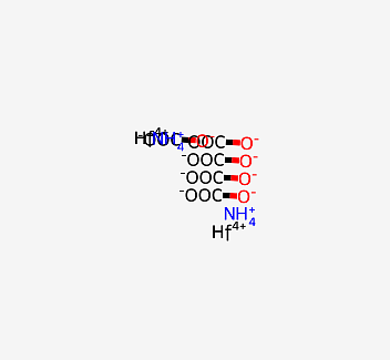 O=C([O-])[O-].O=C([O-])[O-].O=C([O-])[O-].O=C([O-])[O-].O=C([O-])[O-].[Hf+4].[Hf+4].[NH4+].[NH4+]